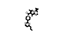 C=N/C(NC1(C)CC1)=C(\C)C(C(=O)N1CCC(c2nccc(CCC)n2)CC1)=C(C)C